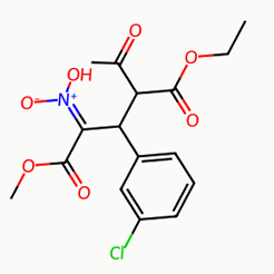 CCOC(=O)C(C(C)=O)C(C(C(=O)OC)=[N+]([O-])O)c1cccc(Cl)c1